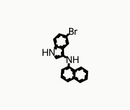 Brc1ccc2[nH]cc(Nc3cccc4ccccc34)c2c1